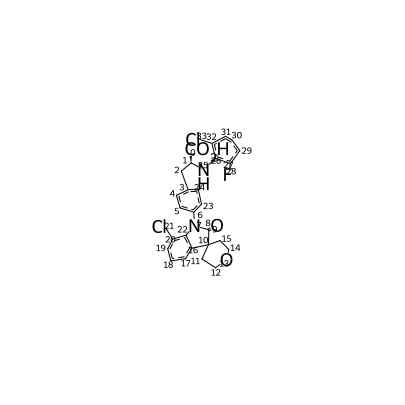 O=C(O)[C@H](Cc1ccc(N2C(=O)C3(CCOCC3)c3cccc(Cl)c32)cc1)Nc1c(F)cccc1Cl